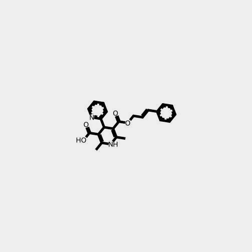 CC1=C(C(=O)O)C(c2ccccn2)C(C(=O)OC/C=C/c2ccccc2)=C(C)N1